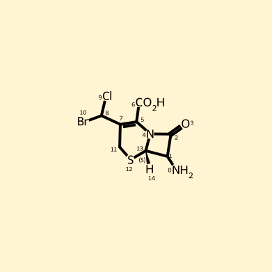 NC1C(=O)N2C(C(=O)O)=C(C(Cl)Br)CS[C@@H]12